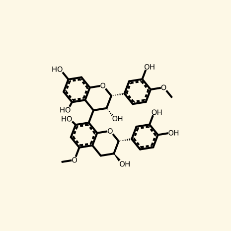 COc1ccc([C@H]2Oc3cc(O)cc(O)c3C(c3c(O)cc(OC)c4c3O[C@H](c3ccc(O)c(O)c3)[C@@H](O)C4)[C@H]2O)cc1O